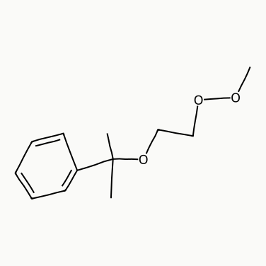 COOCCOC(C)(C)c1ccccc1